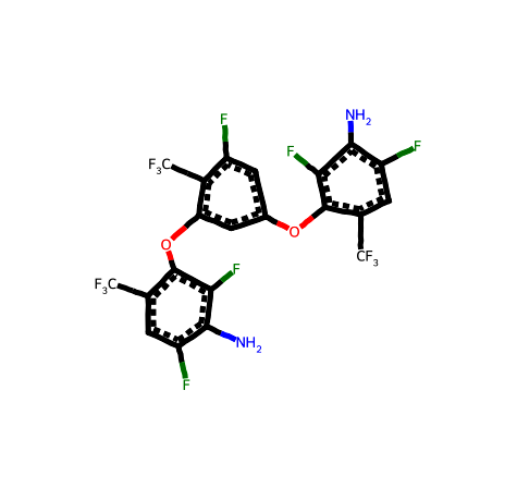 Nc1c(F)cc(C(F)(F)F)c(Oc2cc(F)c(C(F)(F)F)c(Oc3c(C(F)(F)F)cc(F)c(N)c3F)c2)c1F